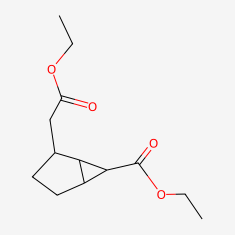 CCOC(=O)CC1CCC2C(C(=O)OCC)C12